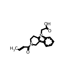 CC=CC(=O)N1CCc2c(c3ccccc3n2CC(=O)O)C1